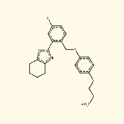 O=C(O)CCCc1ccc(OCc2ccc(F)cc2-c2nc3c(s2)CCCC3)cn1